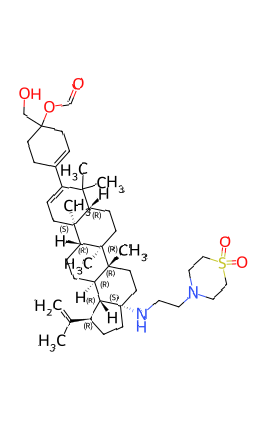 C=C(C)[C@@H]1CC[C@]2(NCCN3CCS(=O)(=O)CC3)CC[C@]3(C)[C@H](CC[C@@H]4[C@@]5(C)CC=C(C6=CCC(CO)(OC=O)CC6)C(C)(C)[C@@H]5CC[C@]43C)[C@@H]12